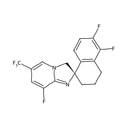 FC1=CC(C(F)(F)F)=CN2C[C@@]3(CCCc4c3ccc(F)c4F)N=C12